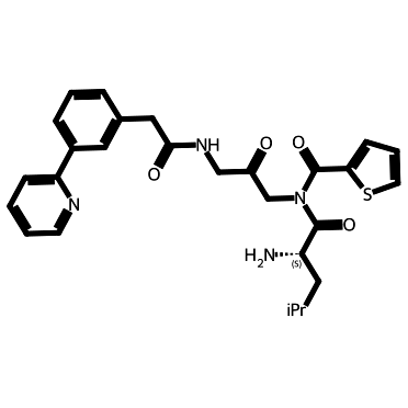 CC(C)C[C@H](N)C(=O)N(CC(=O)CNC(=O)Cc1cccc(-c2ccccn2)c1)C(=O)c1cccs1